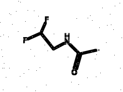 [CH2]C(=O)NCC(F)F